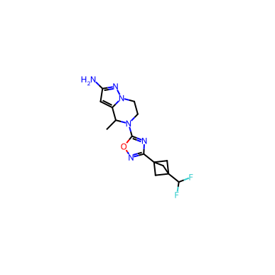 CC1c2cc(N)nn2CCN1c1nc(C23CC(C(F)F)(C2)C3)no1